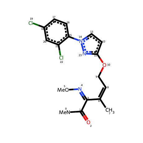 CNC(=O)C(=NOC)/C(C)=C\COc1ccn(-c2ccc(Cl)cc2Cl)n1